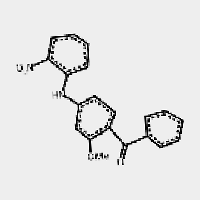 COc1cc(Nc2ccccc2[N+](=O)[O-])ccc1C(=O)c1ccccc1